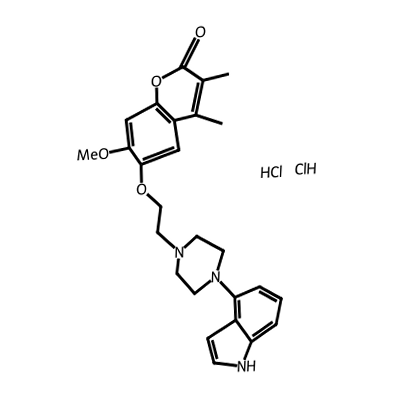 COc1cc2oc(=O)c(C)c(C)c2cc1OCCN1CCN(c2cccc3[nH]ccc23)CC1.Cl.Cl